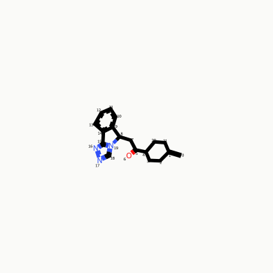 C=C1CCC(C(=O)CC2c3ccccc3-c3nncn32)CC1